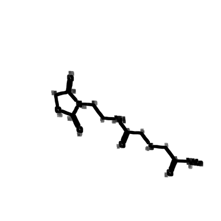 CNC(=O)CSCC(=O)NCCN1C(=O)COC1=O